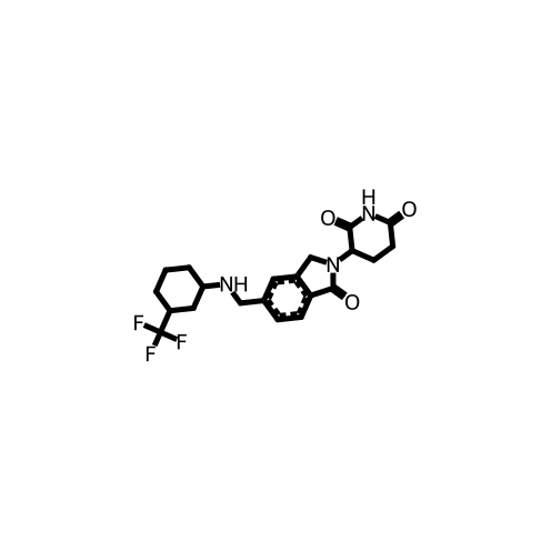 O=C1CCC(N2Cc3cc(CNC4CCCC(C(F)(F)F)C4)ccc3C2=O)C(=O)N1